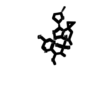 COCC1(n2c(NS(=O)(=O)C(C)C(OC)c3ncc(Cl)cn3)nnc2[C@@H]2CC[C@H](C)O2)CC1